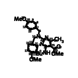 CCCCNc1nc(N(Cc2ccc(OC)cc2)Cc2ccc(OC)cc2)nc(C)c1C(=O)OC